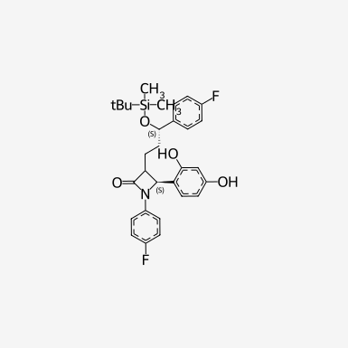 CC(C)(C)[Si](C)(C)O[C@@H](CCC1C(=O)N(c2ccc(F)cc2)[C@@H]1c1ccc(O)cc1O)c1ccc(F)cc1